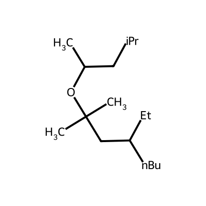 CCCCC(CC)CC(C)(C)OC(C)CC(C)C